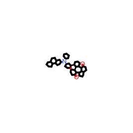 c1ccc(N(c2cccc(-c3ccc4oc5ccc6ccc7oc8cccc9c8c7c6c5c4c3-9)c2)c2ccc3c(ccc4ccccc43)c2)cc1